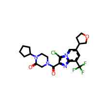 O=C(c1nc2c(C(F)(F)F)cc(C3CCOC3)cn2c1Cl)N1CCN(C2CCCC2)C(=O)C1